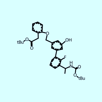 CC(NC(=O)OC(C)(C)C)c1cccc(-c2cc(O)cc(COc3ccccc3CC(=O)OC(C)(C)C)c2)c1F